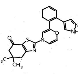 CC1(C)CC(=O)c2sc(N3C=COC(C4=C(c5cn[nH]c5)C=CCC4)=C3)nc2C1